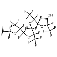 C=C(F)C(F)(F)OC(F)(C(F)(F)F)C(F)(F)OC(F)(C(F)(F)F)C(F)(F)OC(F)(C(F)(F)F)C(F)(F)OC(F)(C(=O)O)C(F)(F)F